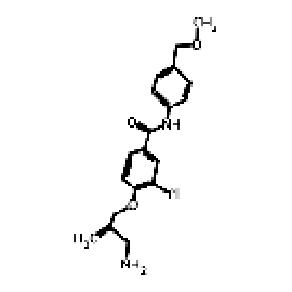 C=C(CN)COc1ccc(C(=O)Nc2ccc(COC)cc2)cc1Cl